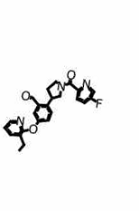 CCc1cccnc1Oc1ccc(C2CCN(C(=O)c3ccc(F)cn3)C2)c(C=O)c1